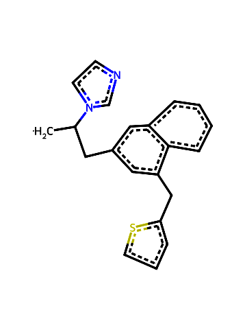 [CH2]C(Cc1cc(Cc2cccs2)c2ccccc2c1)n1ccnc1